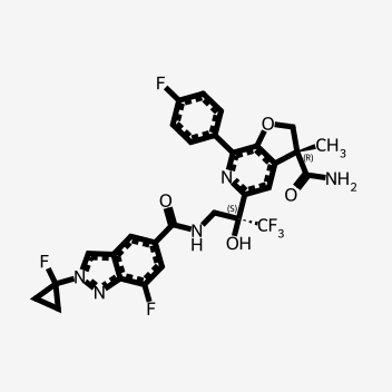 C[C@]1(C(N)=O)COc2c1cc([C@@](O)(CNC(=O)c1cc(F)c3nn(C4(F)CC4)cc3c1)C(F)(F)F)nc2-c1ccc(F)cc1